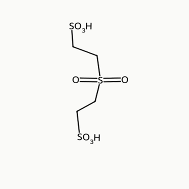 O=S(=O)(O)CCS(=O)(=O)CCS(=O)(=O)O